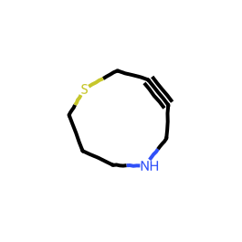 C1#CCSCCCNC1